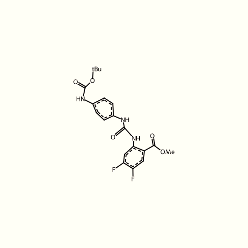 COC(=O)c1cc(F)c(F)cc1NC(=O)Nc1ccc(NC(=O)OC(C)(C)C)cc1